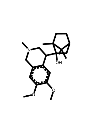 COc1cc2c(cc1OC)C(C1(O)CC3CCC1(C)C3(C)C)CN(C)C2